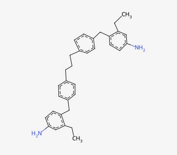 CCc1cc(N)ccc1Cc1ccc(CCCc2ccc(Cc3ccc(N)cc3CC)cc2)cc1